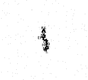 CCc1nc(N2CC3C(C2)C3(F)F)ccc1Cc1ccc(C(=O)N[C@@H]2CCc3c2ncn3C)o1